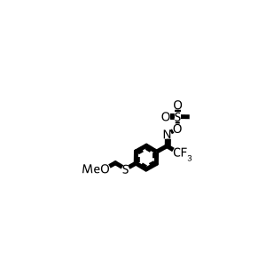 COCSc1ccc(C(=NOS(C)(=O)=O)C(F)(F)F)cc1